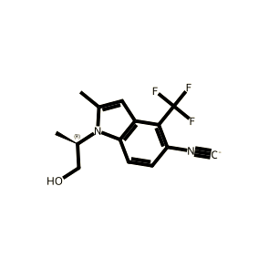 [C-]#[N+]c1ccc2c(cc(C)n2[C@H](C)CO)c1C(F)(F)F